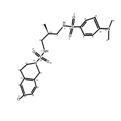 C[C@@H](CNS(=O)(=O)c1ccc(N(C)C)cc1)CNS(=O)(=O)N1CCc2cc(Cl)ccc2C1